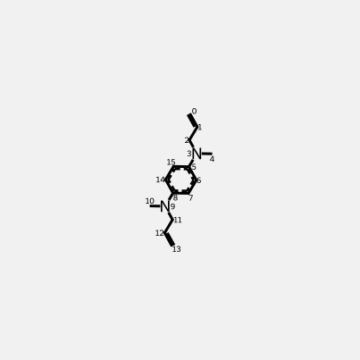 C=CCN(C)c1ccc(N(C)CC=C)cc1